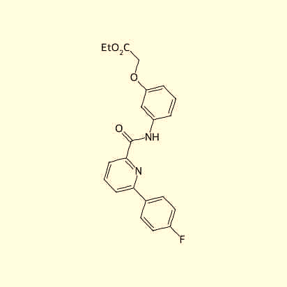 CCOC(=O)COc1cccc(NC(=O)c2cccc(-c3ccc(F)cc3)n2)c1